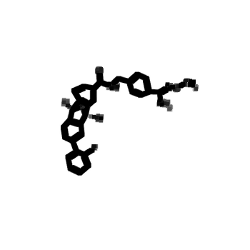 CON=C(N)c1ccc(CNC(=O)c2ccc3c(c2)[C@@H]2O[C@H]3c3ccc(-c4ccccc4F)cc32)cc1